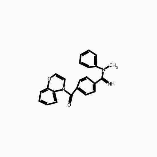 CN(C(=N)c1ccc(C(=O)N2C=COc3ccccc32)cc1)c1ccccc1